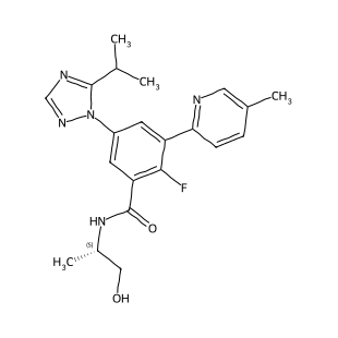 Cc1ccc(-c2cc(-n3ncnc3C(C)C)cc(C(=O)N[C@@H](C)CO)c2F)nc1